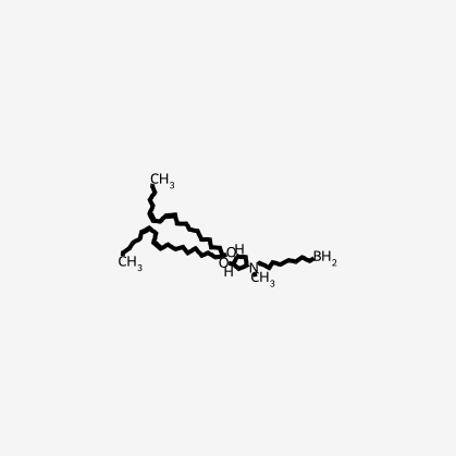 BCCCCCCCCN(C)[C@H]1C[C@@H]2OC(CCCCCCCC/C=C\C/C=C\CCCCC)(CCCCCCCC/C=C\C/C=C\CCCCC)O[C@@H]2C1